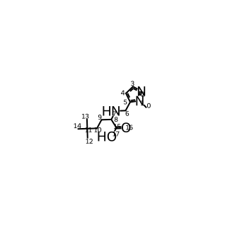 Cn1nccc1CNC(CCC(C)(C)C)C(=O)O